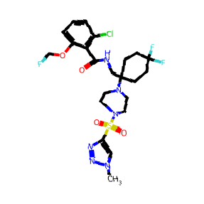 Cn1cc(S(=O)(=O)N2CCN(C3(CNC(=O)c4c(Cl)cccc4OCF)CCC(F)(F)CC3)CC2)nn1